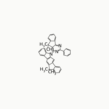 CC1(C)c2ccccc2-c2cc3c(cc21)c1ccccc1n3-c1nc(-c2ccccc2)nc2c1C(C)(C)c1ccccc1-2